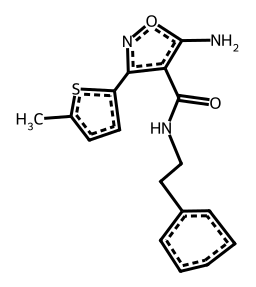 Cc1ccc(-c2noc(N)c2C(=O)NCCc2ccccc2)s1